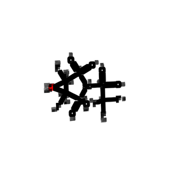 O=[S](=O)([Sc]([S](=O)(=O)C(F)(F)F)[S](=O)(=O)C(F)(F)F)C(F)(F)F